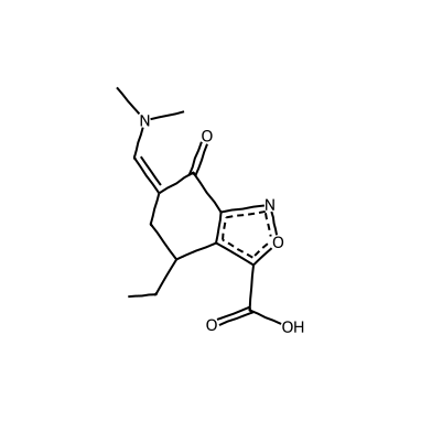 CCC1CC(=CN(C)C)C(=O)c2noc(C(=O)O)c21